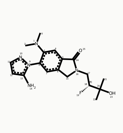 CN(C)c1cc2c(cc1-n1nccc1N)CN(C[C@@H](F)C(C)(C)O)C2=O